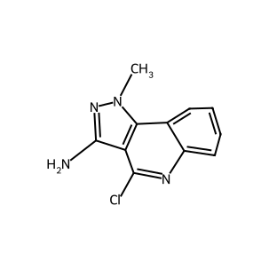 Cn1nc(N)c2c(Cl)nc3ccccc3c21